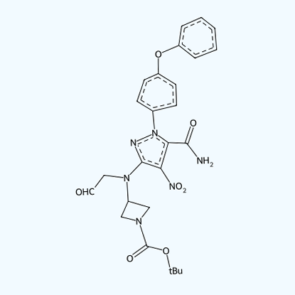 CC(C)(C)OC(=O)N1CC(N(CC=O)c2nn(-c3ccc(Oc4ccccc4)cc3)c(C(N)=O)c2[N+](=O)[O-])C1